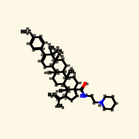 C=C(C)[C@@H]1CCC2(C(=O)NCCN3CCCCC3)CC[C@@]3(C)C4CC[C@@H]5C(CC=C(c6ccc(C(=O)O)cc6)C5(C)C)[C@H]4CCC3[C@@H]12